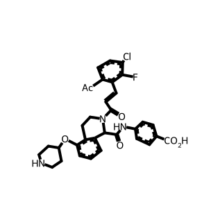 CC(=O)c1ccc(Cl)c(F)c1C=CC(=O)N1CCc2c(OC3CCNCC3)cccc2C1C(=O)Nc1ccc(C(=O)O)cc1